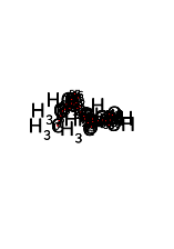 CCCCCCN(C)C1CCC(N(C(=O)O)c2cc(CCCC(=O)Nc3cc(OC)c(CNC[C@@H](O)c4ccc(O)c5[nH]c(=O)ccc45)cc3Cl)ccc2-c2ccccc2)CC1